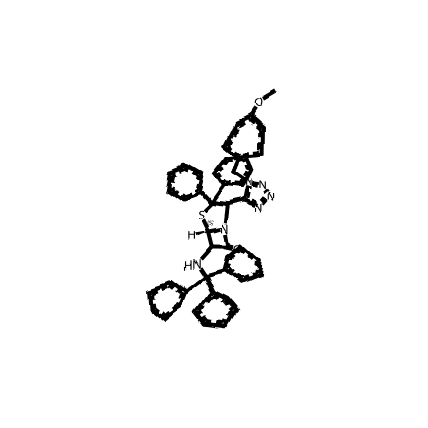 COc1ccc(Cn2nnnc2C2N3C(=O)C(NC(c4ccccc4)(c4ccccc4)c4ccccc4)[C@@H]3SC2(c2ccccc2)c2ccccc2)cc1